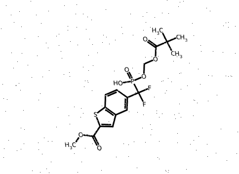 COC(=O)c1cc2cc(C(F)(F)P(=O)(O)OCOC(=O)C(C)(C)C)ccc2s1